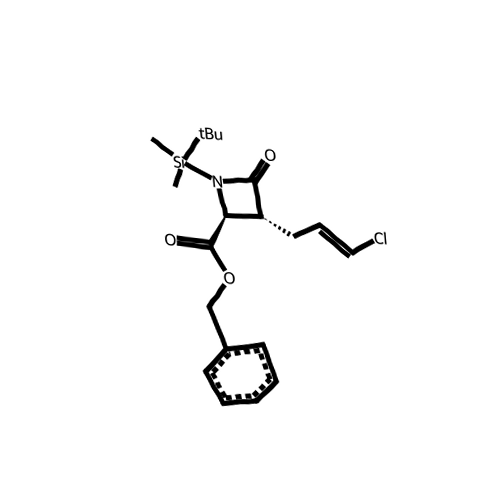 CC(C)(C)[Si](C)(C)N1C(=O)[C@H](C/C=C/Cl)[C@H]1C(=O)OCc1ccccc1